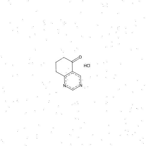 Cl.O=C1CCCc2ncncc21